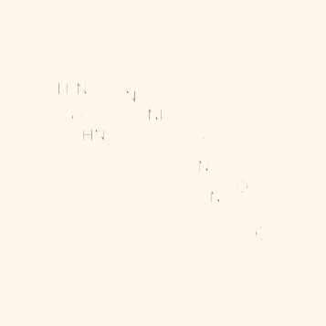 NC(=O)c1cnc(Nc2cccc(C(=O)N3CCN(c4cccc(Cl)c4)C(=O)C3)c2)cc1NCc1ccccc1